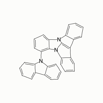 c1ccc2c(c1)c1ccccc1n2-c1cccc2c1n1c3ccccc3c3c4ccccc4n2c31